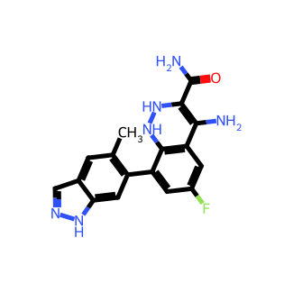 Cc1cc2cn[nH]c2cc1-c1cc(F)cc2c1NNC(C(N)=O)=C2N